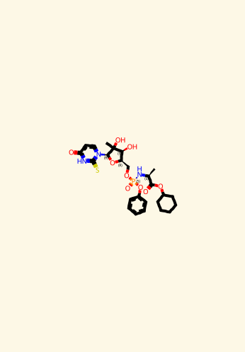 C[C@H](N[P@](=O)(OC[C@H]1O[C@@H](n2ccc(=O)[nH]c2=S)C(C)(O)[C@H]1O)Oc1ccccc1)C(=O)OC1CCCCC1